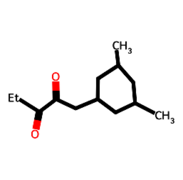 CCC(=O)C(=O)CC1CC(C)CC(C)C1